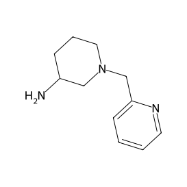 NC1CCCN(Cc2ccccn2)C1